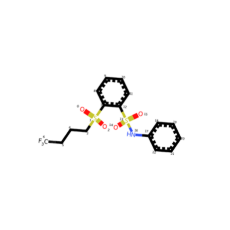 O=S(=O)(CCCC(F)(F)F)c1ccccc1S(=O)(=O)Nc1ccccc1